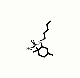 CCCCCOC1CC(C)CCC1(C)P(=O)(O)O